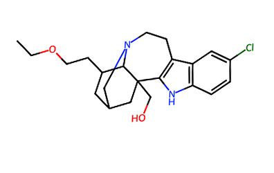 CCOCCC1CC2CN3CCc4c([nH]c5ccc(Cl)cc45)C(CO)(C2)C13